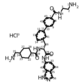 Cl.NCCNC(=O)c1ccc(-c2cccc(C[C@H](NC(=O)C3CCC(CN)CC3)C(=O)Nc3ccc4cn[nH]c4c3)c2)cc1